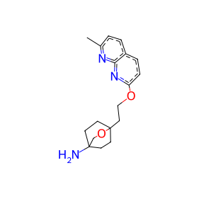 Cc1ccc2ccc(OCCC34CCC(N)(CC3)CO4)nc2n1